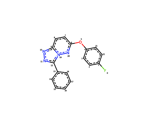 Fc1ccc(Oc2ccc3nnc(-c4ccccc4)n3n2)cc1